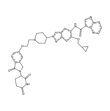 O=C1CCC(N2Cc3cc(OCCN4CCC(n5cc6cc(NC(=O)c7cnn8cccnc78)c(OCC7CC7)cc6n5)CC4)ccc3C2=O)C(=O)N1